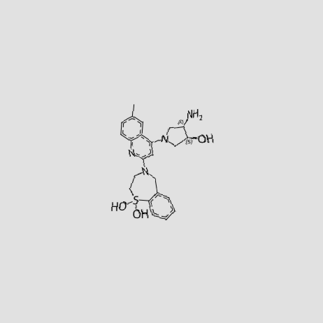 Cc1ccc2nc(N3CCS(O)(O)c4ccccc4C3)cc(N3C[C@@H](N)[C@@H](O)C3)c2c1